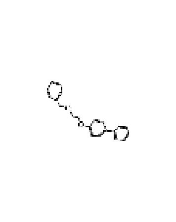 [c]1ccccc1-c1ccc(OCCOCc2ccccc2)cc1